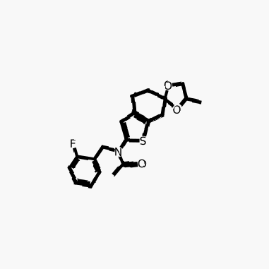 CC(=O)N(Cc1ccccc1F)c1cc2c(s1)CC1(CC2)OCC(C)O1